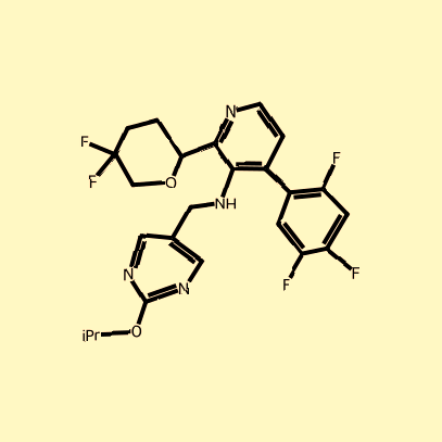 CC(C)Oc1ncc(CNc2c(-c3cc(F)c(F)cc3F)ccnc2C2CCC(F)(F)CO2)cn1